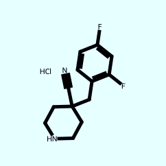 Cl.N#CC1(Cc2ccc(F)cc2F)CCNCC1